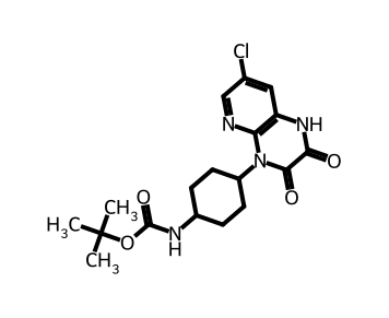 CC(C)(C)OC(=O)NC1CCC(n2c(=O)c(=O)[nH]c3cc(Cl)cnc32)CC1